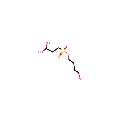 O=S(=O)(CCC(O)O)OCCCCO